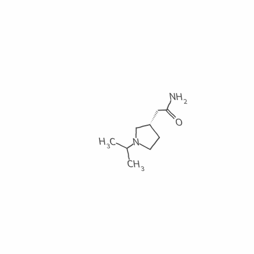 CC(C)N1CC[C@@H](CC(N)=O)C1